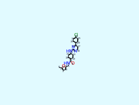 Cc1ccc(CNC(=O)c2ccc(Nc3nccc(-c4ccc(Cl)cc4)n3)cc2)o1